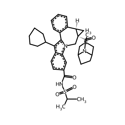 CC(C)S(=O)(=O)NC(=O)c1ccc2c(C3CCCCC3)c3n(c2c1)C[C@]1(C(=O)N2C4CCC2CN(C)C4)C[C@@H]1c1ccccc1-3